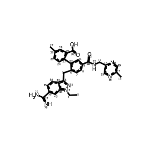 CCn1nc(Cc2ccc(C(=O)NCc3cnc(C)cn3)cc2-c2ccc(C)cc2C(=O)O)c2ccc(C(=N)N)cc21